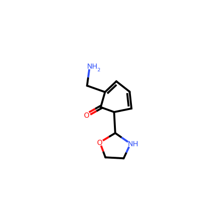 NCC1=CC=CC(C2NCCO2)C1=O